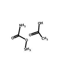 CC(=O)O.NC(=O)O[SiH3]